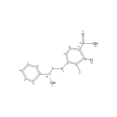 Cc1c(SC[C@H](O)c2ccccc2)ccc(C(=O)O)c1Cl